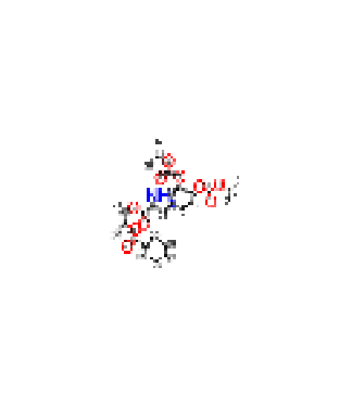 CC(C)OC(=O)Oc1ccc(C[C@H](N)C(=O)O[C@@H](C)C(C)OC(=O)C2CCCCC2)cc1OC(=O)OC(C)C